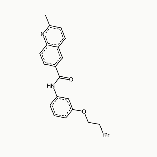 Cc1ccc2cc(C(=O)Nc3cccc(OCCC(C)C)c3)ccc2n1